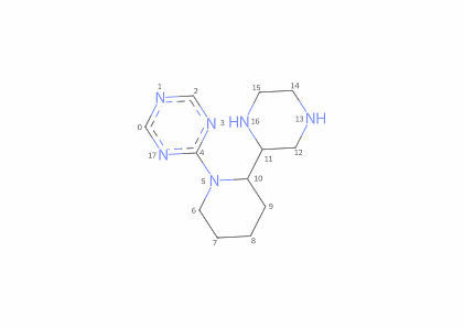 c1ncnc(N2CCCCC2C2CNCCN2)n1